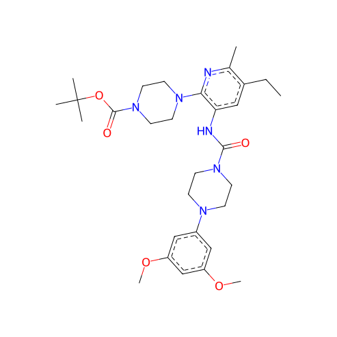 CCc1cc(NC(=O)N2CCN(c3cc(OC)cc(OC)c3)CC2)c(N2CCN(C(=O)OC(C)(C)C)CC2)nc1C